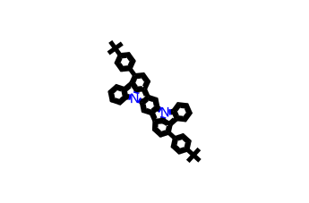 CC(C)(C)c1ccc(-c2ccc3c4cc5c(cc4n4c6ccccc6c2c34)c2ccc(-c3ccc(C(C)(C)C)cc3)c3c4ccccc4n5c23)cc1